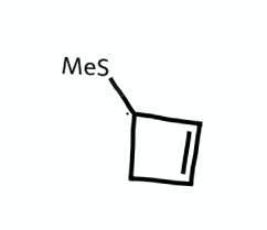 CS[C]1C=CC1